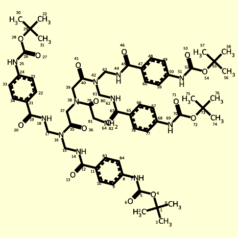 CC(C)(C)OC(=O)Nc1ccc(C(=O)NCN(CNC(=O)c2ccc(NC(=O)OC(C)(C)C)cc2)C(=O)CN(CC(=O)N(CNC(=O)c2ccc(NC(=O)OC(C)(C)C)cc2)CNC(=O)c2ccc(NC(=O)OC(C)(C)C)cc2)C(=O)CN)cc1